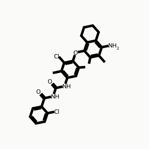 Cc1cc(NC(=O)NC(=O)c2ccccc2Cl)c(C)c(Cl)c1Oc1c(C)c(C)c(N)c2c1CCCC2